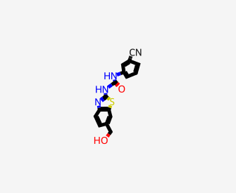 N#Cc1cccc(NC(=O)Nc2nc3ccc(CO)cc3s2)c1